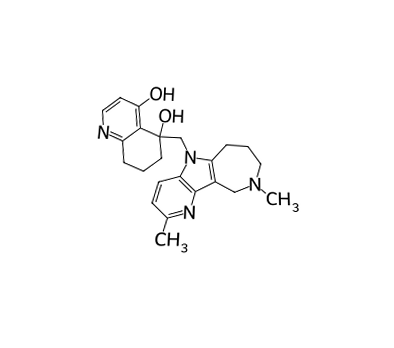 Cc1ccc2c(n1)c1c(n2CC2(O)CCCc3nccc(O)c32)CCCN(C)C1